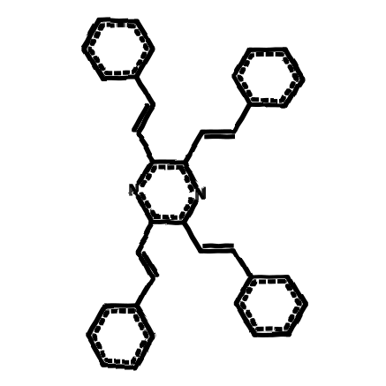 C(=C\c1nc(/C=C/c2ccccc2)c(/C=C/c2ccccc2)nc1/C=C/c1ccccc1)/c1ccccc1